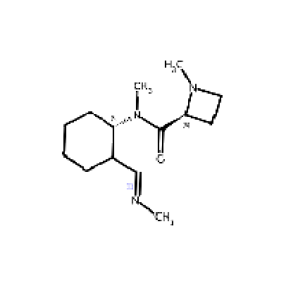 C/N=C/C1CCCC[C@@H]1N(C)C(=O)[C@@H]1CCN1C